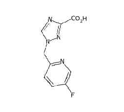 O=C(O)c1ncn(Cc2ccc(F)cn2)n1